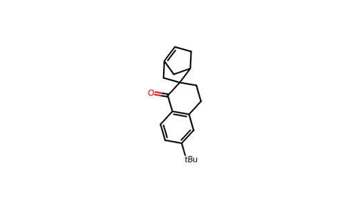 CC(C)(C)c1ccc2c(c1)CCC1(CC3=CCC1C3)C2=O